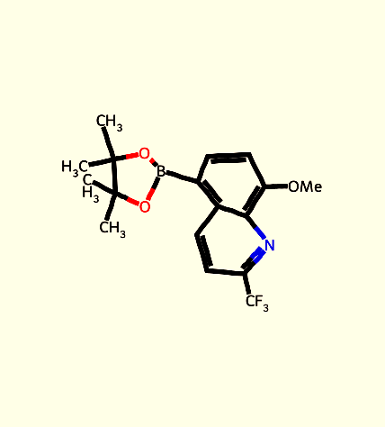 COc1ccc(B2OC(C)(C)C(C)(C)O2)c2ccc(C(F)(F)F)nc12